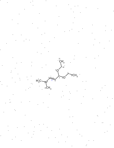 CCOC(/C=C/N(C)C)OCC